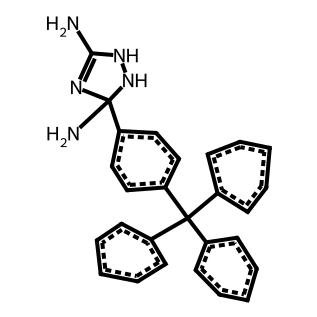 NC1=NC(N)(c2ccc(C(c3ccccc3)(c3ccccc3)c3ccccc3)cc2)NN1